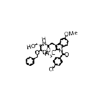 COc1ccc2c(c1)c(CC(=O)N[C@@H](CO)C(=O)OCc1ccccc1)c(C)n2C(=O)c1ccc(Cl)cc1